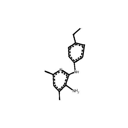 [CH2]Cc1ccc(Nc2nc(C)cc(C)c2N)cc1